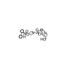 CN(CCN1CCC(OC(=O)Nc2ccccc2-c2ccccc2)CC1)C(=O)c1ccc(CN2CCC(CO)CC2)s1